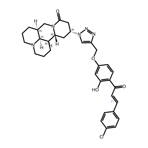 O=C(/C=C/c1ccc(Cl)cc1)c1ccc(OCc2cn([C@H]3CC(=O)N4C[C@@H]5CCCN6CCC[C@@H]([C@H]56)[C@H]4C3)nn2)cc1O